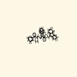 O=C(NCCN(C(=O)OCC1c2ccccc2-c2ccccc21)C1CC2CCC(C1)N2)c1ccccc1